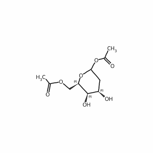 CC(=O)OC[C@H]1OC(OC(C)=O)C[C@@H](O)[C@H]1O